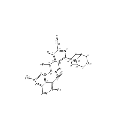 C#Cc1c(F)ccc2cc(O)cc(-c3ncc4c(N5CC6COCC(C5)N6)nc(C#N)c(C)c4c3F)c12